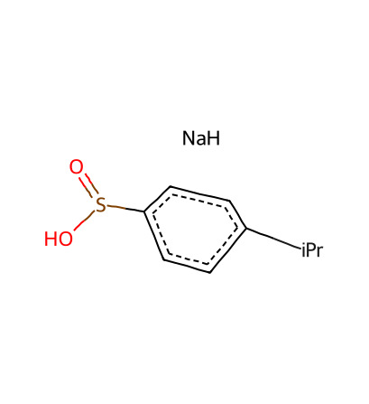 CC(C)c1ccc(S(=O)O)cc1.[NaH]